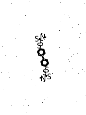 CN(C)C(=S)SSc1ccc(-c2ccc(SSC(=S)N(C)C)cc2)cc1